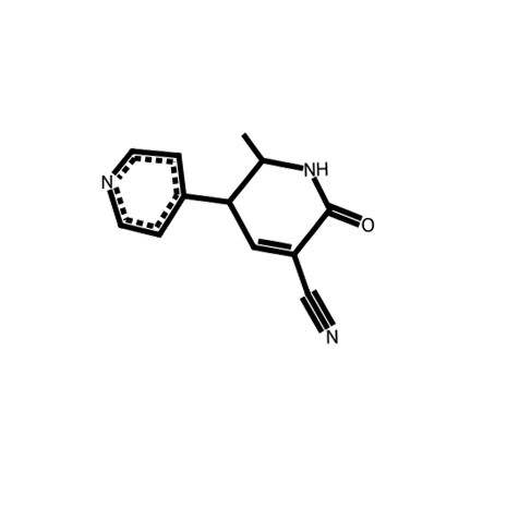 CC1NC(=O)C(C#N)=CC1c1ccncc1